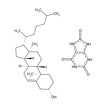 CC(C)CCCC(C)[C@H]1CC[C@H]2[C@@H]3CC=C4C[C@@H](O)CC[C@]4(C)[C@H]3CC[C@]12C.O=c1[nH]c(=O)c2[nH]c(=O)[nH]c2[nH]1